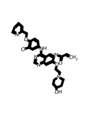 C=CC(=O)Nc1cc2c(Nc3ccc(OCc4ccccn4)c(Cl)c3)ncnc2cc1OCCN1CCC(O)CC1